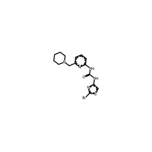 O=C(Nc1cccc(CN2CCCCC2)n1)Nc1csc(Br)n1